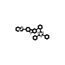 c1ccc(-c2nc(-c3ccccc3)nc(-c3ccccc3-c3ccc4sc5cc(-c6cn7ccccc7n6)ccc5c4c3)n2)cc1